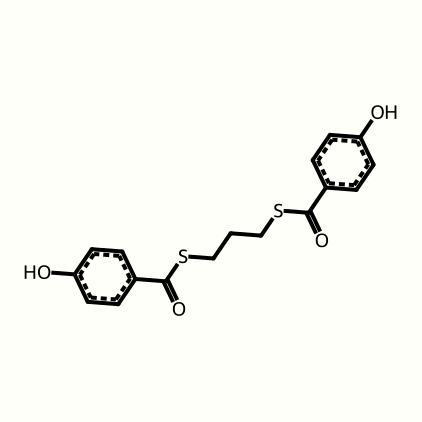 O=C(SCCCSC(=O)c1ccc(O)cc1)c1ccc(O)cc1